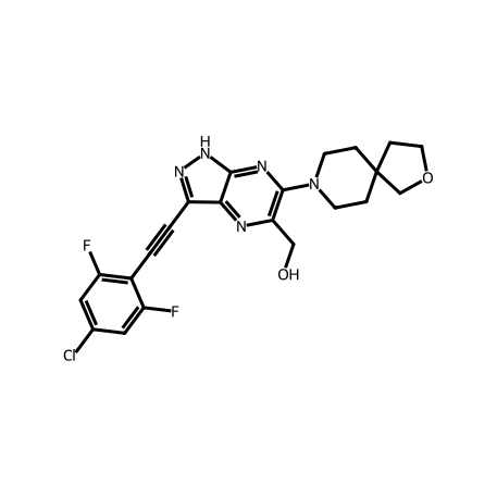 OCc1nc2c(C#Cc3c(F)cc(Cl)cc3F)n[nH]c2nc1N1CCC2(CCOC2)CC1